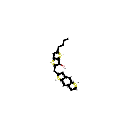 CCCCc1cc2sc(Cc3cc4cc5sccc5cc4s3)c(Br)c2s1